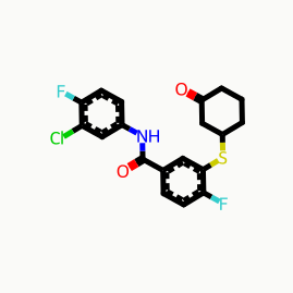 O=C1CCCC(Sc2cc(C(=O)Nc3ccc(F)c(Cl)c3)ccc2F)C1